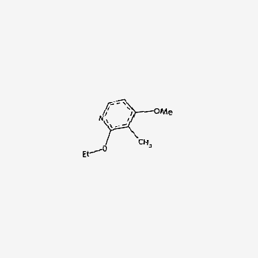 CCOc1nccc(OC)c1C